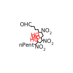 CCCCCC(C(O)CC(C(O)CC(C(O)CCCCC=O)[N+](=O)[O-])[N+](=O)[O-])[N+](=O)[O-]